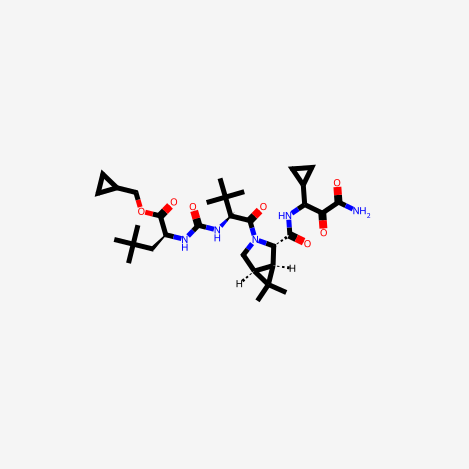 CC(C)(C)C[C@H](NC(=O)N[C@H](C(=O)N1C[C@H]2[C@@H]([C@H]1C(=O)NC(C(=O)C(N)=O)C1CC1)C2(C)C)C(C)(C)C)C(=O)OCC1CC1